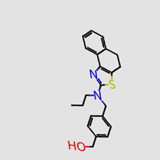 CCCN(Cc1ccc(CO)cc1)c1nc2c(s1)CCc1ccccc1-2